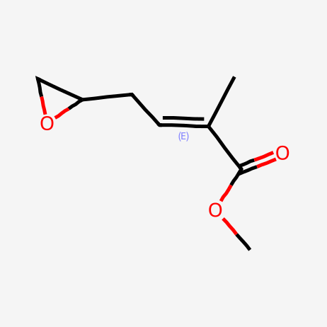 COC(=O)/C(C)=C/CC1CO1